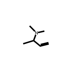 C=CC(C)N(C)C